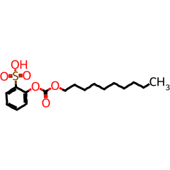 CCCCCCCCCCOC(=O)Oc1ccccc1S(=O)(=O)O